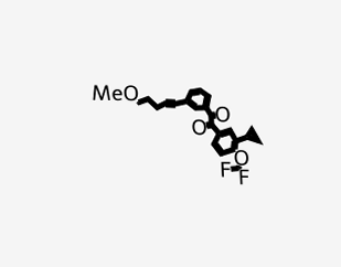 COCCCC#Cc1cccc(C(=O)C(=O)c2ccc(OC(F)F)c(C3CC3)c2)c1